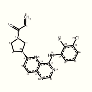 C=CC(=O)N1CC[C@H](c2ccc3ncnc(Nc4cccc(Cl)c4F)c3n2)C1